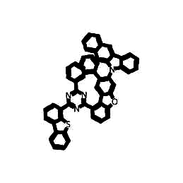 c1ccc(-c2nc(-c3cccc4c3sc3ccccc34)nc(-c3cccc4oc5cc(-n6c7ccccc7c7cc8ccccc8cc76)c(-c6ccccc6)cc5c34)n2)cc1